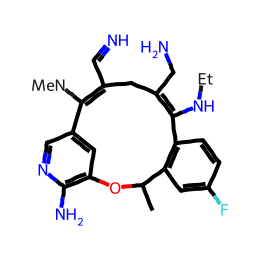 CCN/C1=C(\CN)C/C(C=N)=C(/NC)c2cnc(N)c(c2)OC(C)c2cc(F)ccc21